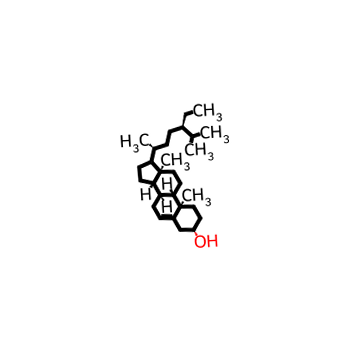 CC[C@H](CC[C@@H](C)C1CC[C@H]2[C@@H]3CC=C4C[C@@H](O)CC[C@]4(C)[C@H]3CC[C@]12C)C(C)C